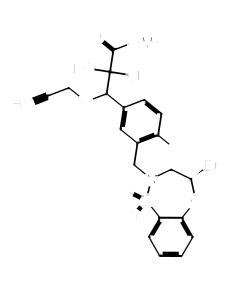 C#CCOC(c1ccc(C)c(CN2C[C@@H](CC)Oc3ccccc3S2(=O)=O)c1)C(C)(C)C(=O)OC